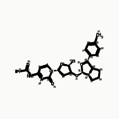 CC[C@H]1O[C@@H](n2ccc(NC(=O)C(C)C)nc2=O)CC1O[P@@]1O[C@H](c2ccc(C)cc2)C2CCCN21